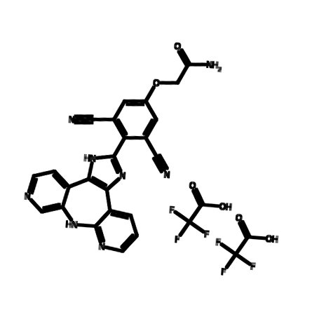 N#Cc1cc(OCC(N)=O)cc(C#N)c1-c1nc2c([nH]1)-c1ccncc1Nc1ncccc1-2.O=C(O)C(F)(F)F.O=C(O)C(F)(F)F